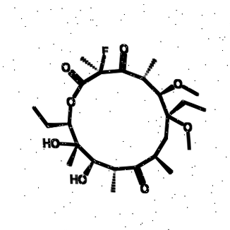 CC[C@H]1OC(=O)[C@@](C)(F)C(=O)[C@H](C)[C@@H](OC)[C@](CC)(OC)C[C@@H](C)C(=O)[C@H](C)[C@@H](O)[C@]1(C)O